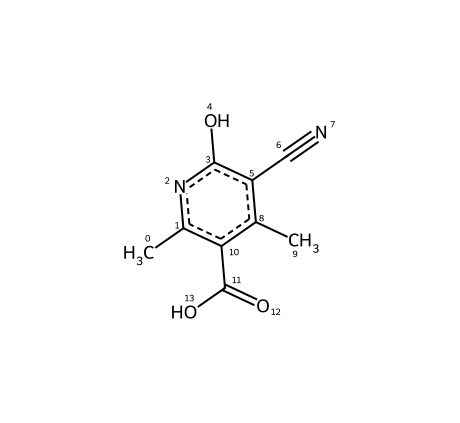 Cc1nc(O)c(C#N)c(C)c1C(=O)O